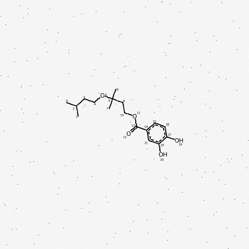 CC(C)CCOC(C)(C)CCOC(=O)c1ccc(O)c(O)c1